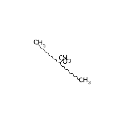 CCCCCCCCC=CC(CCCCCCCCCCCC)C(C)=O